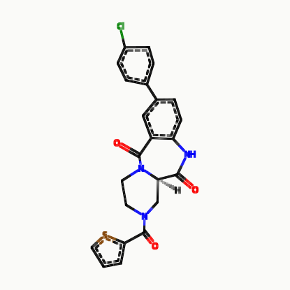 O=C1Nc2ccc(-c3ccc(Cl)cc3)cc2C(=O)N2CCN(C(=O)c3cccs3)C[C@H]12